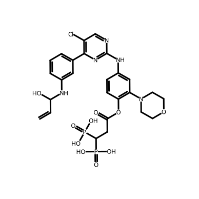 C=CC(O)Nc1cccc(-c2nc(Nc3ccc(OC(=O)CC(P(=O)(O)O)P(=O)(O)O)c(N4CCOCC4)c3)ncc2Cl)c1